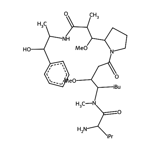 CCC(C)C(C(CC(=O)N1CCCC1C(OC)C(C)C(=O)NC(C)C(O)c1ccccc1)OC)N(C)C(=O)C(N)C(C)C